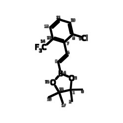 CC1(C)OB(C=Cc2c(Cl)cccc2C(F)(F)F)OC1(C)C